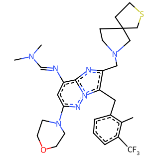 Cc1c(Cc2c(CN3CCC4(CCSC4)C3)nc3c(/N=C/N(C)C)cc(N4CCOCC4)nn23)cccc1C(F)(F)F